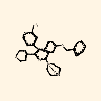 Cc1cc(-c2c(C3CCOCC3)nc([N+]34CCN(CC3)CC4)c3cc(OCc4ccccc4)ccc23)ccn1